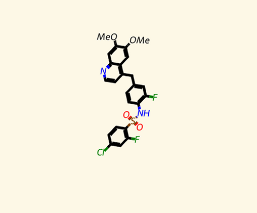 COc1cc2nccc(Cc3ccc(NS(=O)(=O)c4ccc(Cl)cc4F)c(F)c3)c2cc1OC